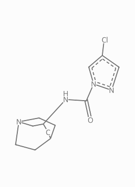 O=C(NC1CC2CCN(CC2)C1)n1cc(Cl)cn1